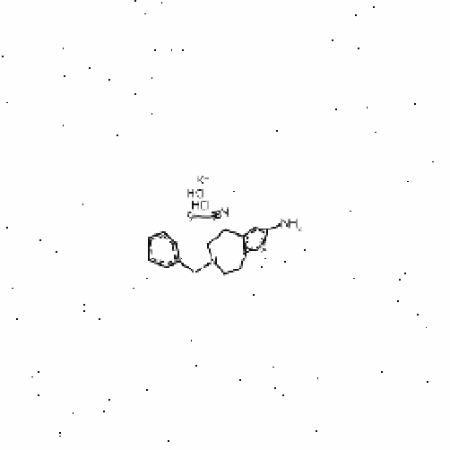 Cl.Cl.N#C[S-].Nc1cc2c(s1)CCN(Cc1ccccc1)CC2.[K+]